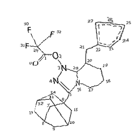 O=C(ON1N=C(C23CC4CC(CC(C4)C2)C3)N2CCCC(Cc3ccccc3)C12)C(F)(F)F